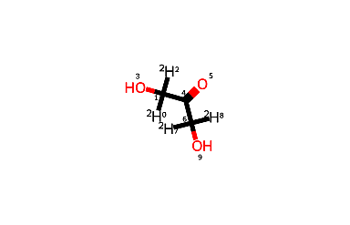 [2H]C([2H])(O)C(=O)C([2H])([2H])O